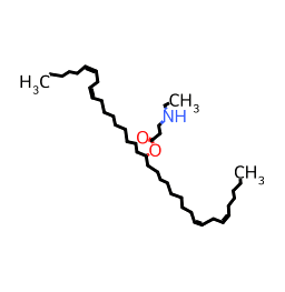 CCCCC/C=C\C/C=C\CCCCCCCCC(CCCCCCCC/C=C\C/C=C\CCCCC)OC(=O)CCNCC